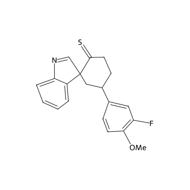 COc1ccc(C2CCC(=S)C3(C=Nc4ccccc43)C2)cc1F